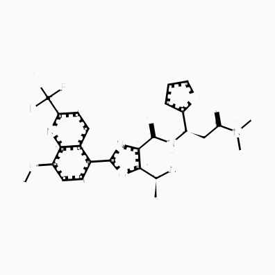 COc1ccc(-c2nc(C(=O)N[C@H](CC(=O)N(C)C)c3ccco3)c([C@H](C)N)o2)c2ccc(C(F)(F)F)nc12